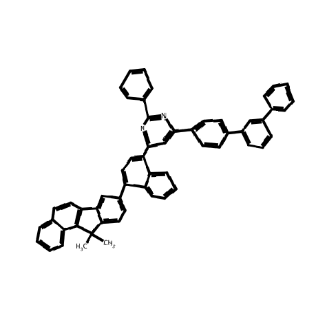 CC1(C)c2ccc(-c3ccc(-c4cc(-c5ccc(-c6cccc(-c7ccccc7)c6)cc5)nc(-c5ccccc5)n4)c4ccccc34)cc2-c2ccc3ccccc3c21